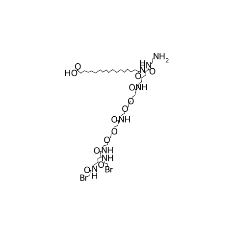 NCCNC(=O)C(CCCCNC(=O)CCOCCOCCNC(=O)CCOCCOCCNC(=O)C(CCCNC(=O)CBr)NC(=O)CBr)NC(=O)CCCCCCCCCCCCCCCCC(=O)O